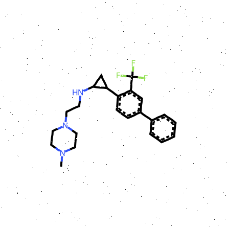 CN1CCN(CCNC2CC2c2ccc(-c3ccccc3)cc2C(F)(F)F)CC1